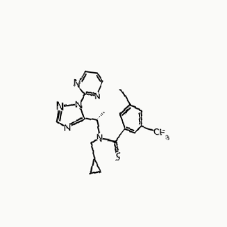 Cc1cc(C(=S)N(CC2CC2)[C@@H](C)c2ncnn2-c2ncccn2)cc(C(F)(F)F)c1